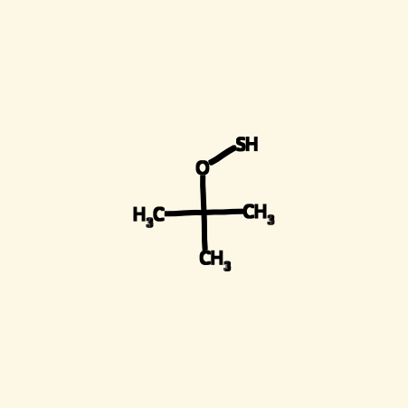 CC(C)(C)OS